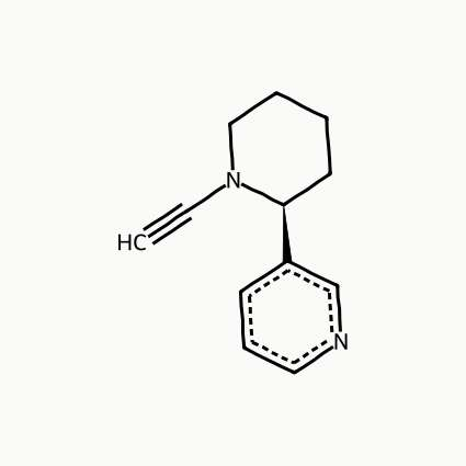 C#CN1CCCC[C@H]1c1cccnc1